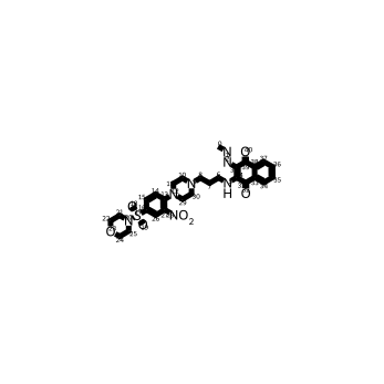 C/N=N/C1=C(NCCCN2CCN(c3ccc(S(=O)(=O)N4CCOCC4)cc3[N+](=O)[O-])CC2)C(=O)c2ccccc2C1=O